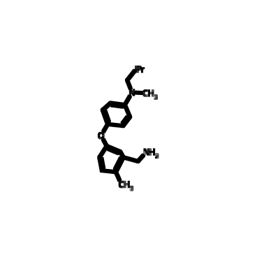 Cc1ccc(Oc2ccc(N(C)CC(C)C)cc2)cc1CN